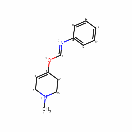 CN1CC=C(OC=Nc2ccccc2)CC1